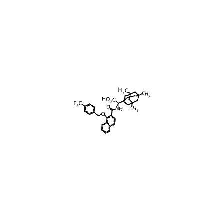 CC12CC3(C)CC(C)(C1)CC(C(NC(=O)c1ccc4ccccc4c1OCc1ccc(C(F)(F)F)cc1)C(=O)O)(C2)C3